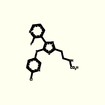 O=C(O)NCCc1nc(-c2cccnc2F)c(Sc2ccc(Cl)nc2)s1